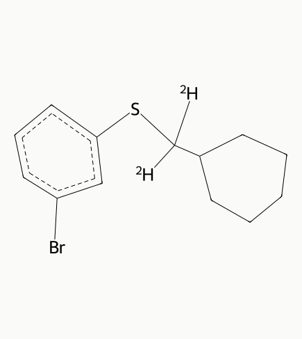 [2H]C([2H])(Sc1cccc(Br)c1)C1CCCCC1